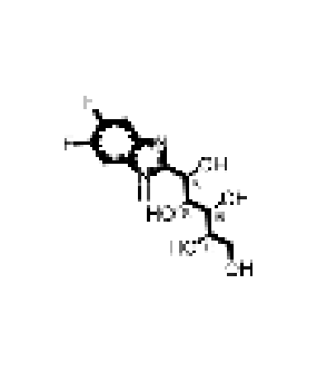 OC[C@@H](O)[C@@H](O)[C@H](O)[C@H](O)c1nc2cc(F)c(F)cc2[nH]1